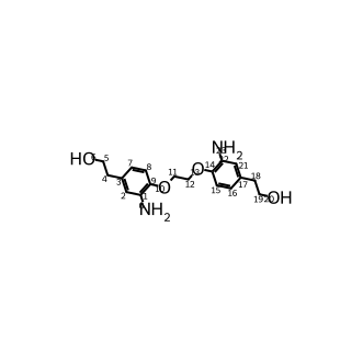 Nc1cc(CCO)ccc1OCCOc1ccc(CCO)cc1N